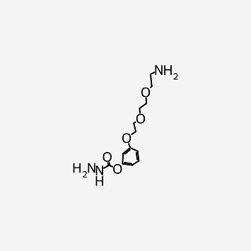 NCCOCCOCCOc1cccc(OC(=O)NN)c1